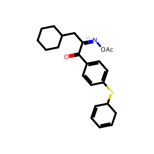 CC(=O)O/N=C(/CC1CCCCC1)C(=O)c1ccc(SC2C=CC=CC2)cc1